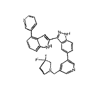 FC1(F)CCN(Cc2cncc(-c3ccc4[nH]nc(-c5cc6c(-c7cccnc7)cccc6[nH]5)c4c3)c2)C1